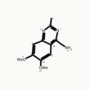 COc1cc2nc(C)nc(N)c2cc1OC